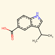 CC(C)c1c[nH]c2ccc(C(=O)O)cc12